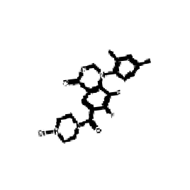 CCN1CCN(C(=O)c2cc3c(c(F)c2F)N(c2ccc(I)cc2C)COC3=O)CC1